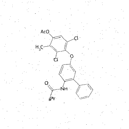 CC(=O)Oc1cc(Cl)c(Oc2ccc(NC(=O)C(C)C)c(-c3ccccc3)c2)c(Cl)c1C